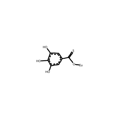 Oc1cc(C(=S)[O][Eu])cc(O)c1O